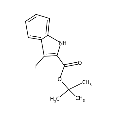 CC(C)(C)OC(=O)c1[nH]c2ccccc2c1I